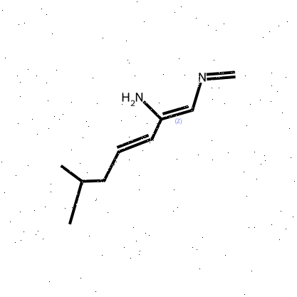 C=N/C=C(\N)C=CCC(C)C